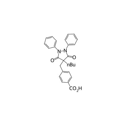 CCCCC1(Cc2ccc(C(=O)O)cc2)C(=O)N(c2ccccc2)N(c2ccccc2)C1=O